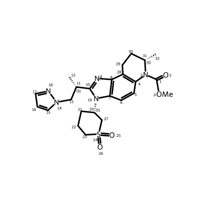 COC(=O)N1c2ccc3c(nc([C@@H](C)Cn4cccn4)n3[C@H]3CCCS(=O)(=O)C3)c2CC[C@@H]1C